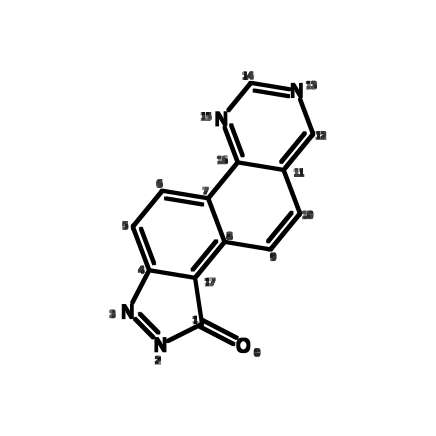 O=C1N=Nc2ccc3c(ccc4cncnc43)c21